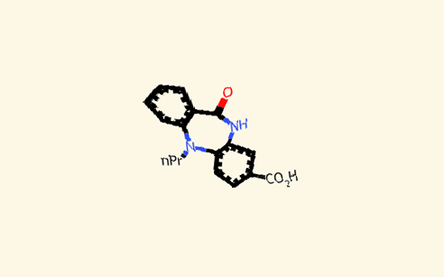 CCCN1c2ccc(C(=O)O)cc2NC(=O)c2ccccc21